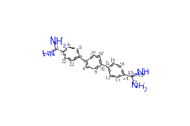 N=C(N)c1ccc(-c2ccc(-c3ccc(C(=N)N)cc3)cc2)cc1